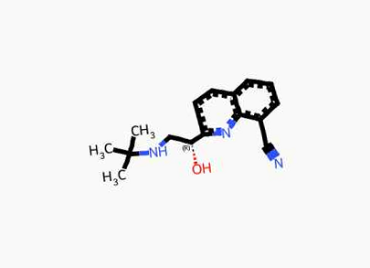 CC(C)(C)NC[C@@H](O)c1ccc2cccc(C#N)c2n1